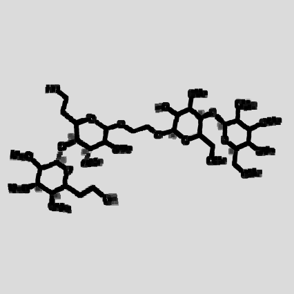 COCC1O[C@@H](OCCOC2OC(CCO)[C@H](O[C@@H]3OC(CCO)[C@@H](OC)[C@@H](OC)C3OC)[C@@H](OC)C2OC)C(O)C(OC)[C@H]1O[C@@H]1O[C@H](COC)C(OC)C(OC)C1OC